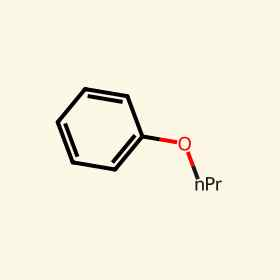 C[CH]COc1ccccc1